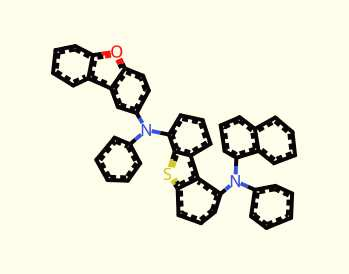 c1ccc(N(c2ccc3oc4ccccc4c3c2)c2cccc3c2sc2cccc(N(c4ccccc4)c4cccc5ccccc45)c23)cc1